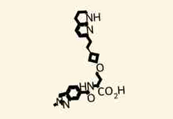 Cn1cc2ccc(C(=O)NC(CCO[C@H]3C[C@H](CCc4ccc5c(n4)NCCC5)C3)C(=O)O)cc2n1